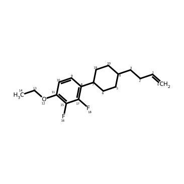 C=CCCC1CCC(c2ccc(OCC)c(F)c2F)CC1